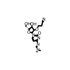 CN(C)C=Nc1ccn([C@@H]2O[C@H](CO)C(O)C2OCCC#N)c(=O)n1